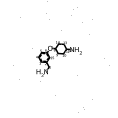 NCc1cccc(OC2CCC(N)CC2)c1